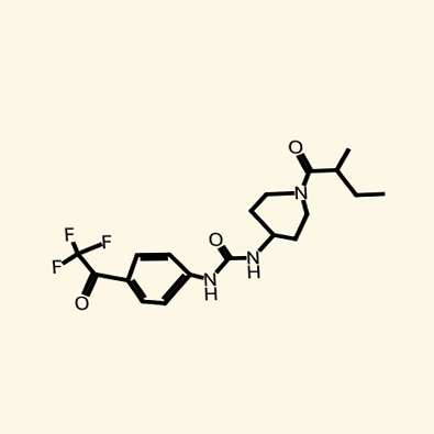 CCC(C)C(=O)N1CCC(NC(=O)Nc2ccc(C(=O)C(F)(F)F)cc2)CC1